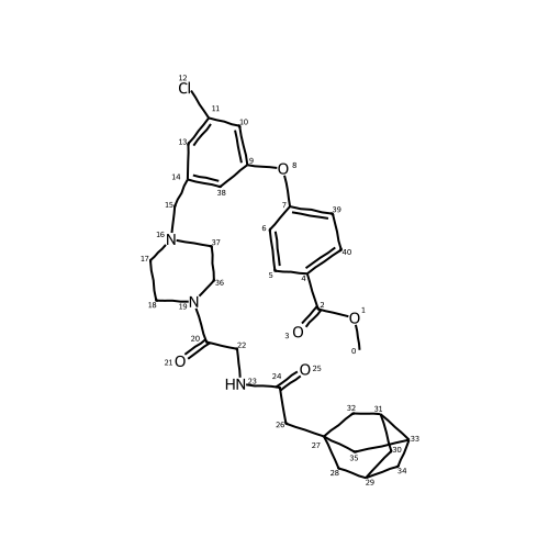 COC(=O)c1ccc(Oc2cc(Cl)cc(CN3CCN(C(=O)CNC(=O)CC45CC6CC(C4)C(C6)C5)CC3)c2)cc1